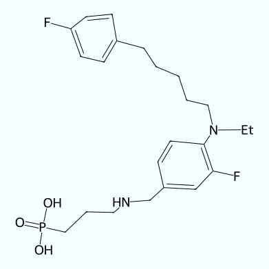 CCN(CCCCCc1ccc(F)cc1)c1ccc(CNCCCP(=O)(O)O)cc1F